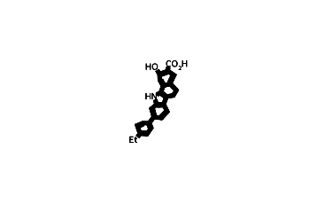 CCc1ccc(-c2ccc3c4c([nH]c3c2)-c2cc(O)c(C(=O)O)cc2CC4)cc1